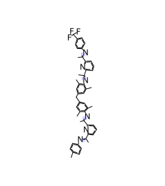 C/C(=N\c1ccc(C)cc1)c1cccc(/C(C)=N/c2c(C)cc(Cc3cc(C)c(/N=C(\C)c4cccc(/C(C)=N/c5ccc(C(F)(F)F)cc5)n4)c(C)c3)cc2C)n1